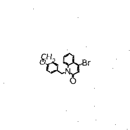 COc1ccc(Cn2c(=O)cc(Br)c3ccccc32)cc1